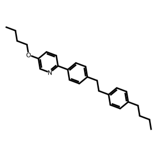 CCCCOc1ccc(-c2ccc(CCc3ccc(CCCC)cc3)cc2)nc1